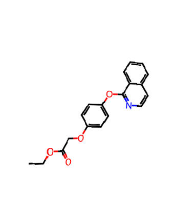 CCOC(=O)COc1ccc(Oc2nccc3ccccc23)cc1